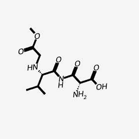 COC(=O)CN[C@H](C(=O)NC(=O)[C@@H](N)C(=O)O)C(C)C